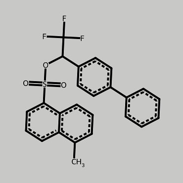 Cc1cccc2c(S(=O)(=O)OC(c3ccc(-c4ccccc4)cc3)C(F)(F)F)cccc12